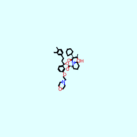 Cc1ccc(CCC(OC(=O)[C@@H]2CCCCN2C(=O)[C@@H](C2CCCCC2)[C@@H](C)O)c2cccc(OCCN3CCOCC3)c2)cc1C